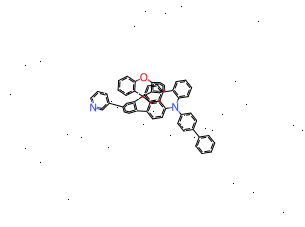 c1ccc(-c2ccc(N(c3ccc4c(c3)C3(c5ccccc5Oc5ccccc53)c3cc(-c5cccnc5)ccc3-4)c3ccccc3-c3ccccc3)cc2)cc1